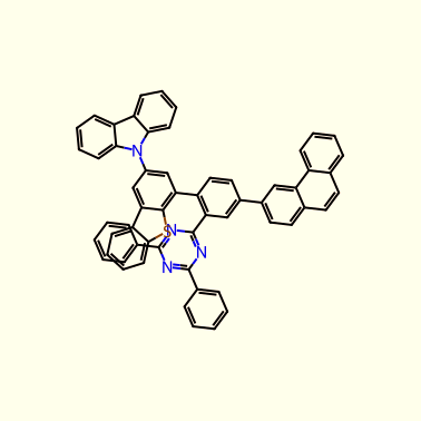 c1ccc(-c2nc(-c3ccccc3)nc(-c3cc(-c4ccc5ccc6ccccc6c5c4)ccc3-c3cc(-n4c5ccccc5c5ccccc54)cc4c3sc3ccccc34)n2)cc1